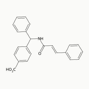 O=C(C=Cc1ccccc1)NC(c1ccccc1)c1ccc(C(=O)O)cc1